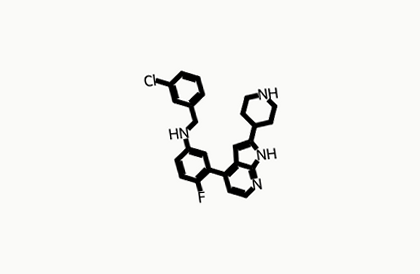 Fc1ccc(NCc2cccc(Cl)c2)cc1-c1ccnc2[nH]c(C3CCNCC3)cc12